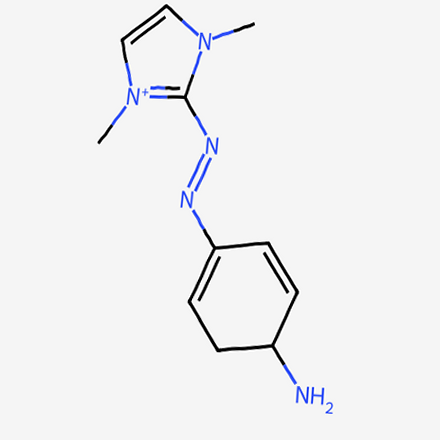 Cn1cc[n+](C)c1N=NC1=CCC(N)C=C1